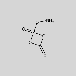 NOP1(=O)OC(=O)O1